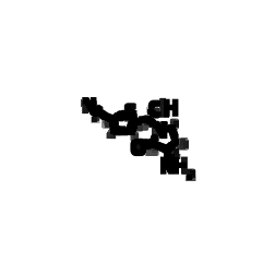 Cl.N#Cc1ccc(CN2CCC(N)C2=O)s1